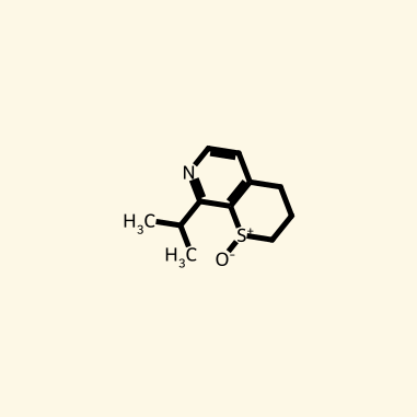 CC(C)c1nccc2c1[S+]([O-])CCC2